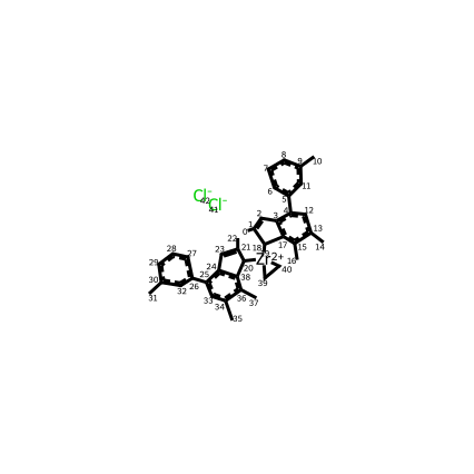 CC1=Cc2c(-c3cccc(C)c3)cc(C)c(C)c2[CH]1[Zr+2]1([CH]2C(C)=Cc3c(-c4cccc(C)c4)cc(C)c(C)c32)[CH2][CH2]1.[Cl-].[Cl-]